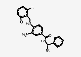 CC[C@@H](NC(=O)c1ccc(NCc2c(Cl)cccc2Cl)c(N)c1)c1ccccc1